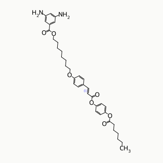 CCCCCCC(=O)Oc1ccc(OC(=O)/C=C/c2ccc(OCCCCCCCCOC(=O)c3cc(N)cc(N)c3)cc2)cc1